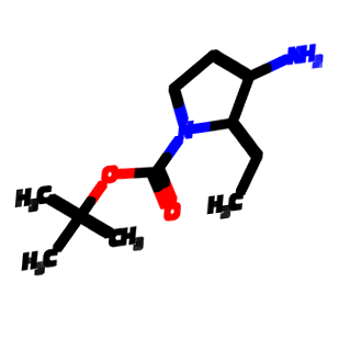 CCC1C(N)CCN1C(=O)OC(C)(C)C